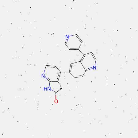 O=C1Cc2c(-c3ccc4nccc(-c5ccncc5)c4c3)ccnc2N1